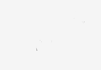 COC(=O)/C=C/c1cc(F)c([C@H]2c3oc4ccccc4c3C[C@H](C)N2CC(C)(C)F)c(F)c1